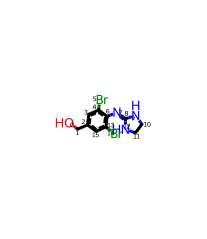 OCc1cc(Br)c(N=C2NCCN2)c(Br)c1